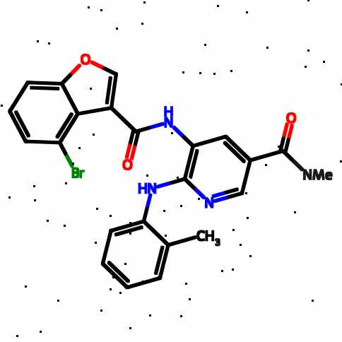 CNC(=O)c1cnc(Nc2ccccc2C)c(NC(=O)c2coc3cccc(Br)c23)c1